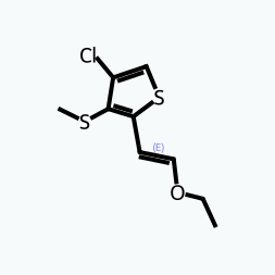 CCO/C=C/c1scc(Cl)c1SC